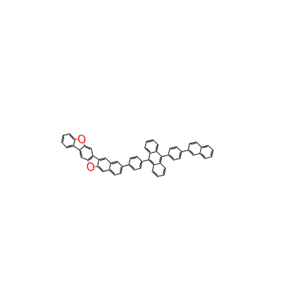 c1ccc2cc(-c3ccc(-c4c5ccccc5c(-c5ccc(-c6ccc7cc8oc9cc%10c(cc9c8cc7c6)oc6ccccc6%10)cc5)c5ccccc45)cc3)ccc2c1